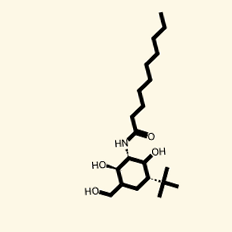 CCCCCCCCCC(=O)N[C@@H]1C(O)[C@H](C(C)(C)C)CC(CO)[C@H]1O